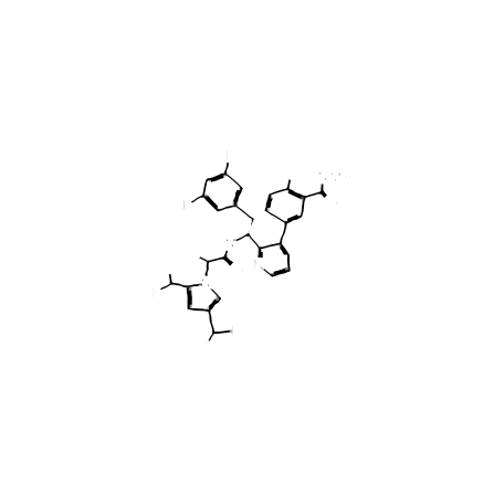 CCC(C(=O)N[C@@H](Cc1cc(F)cc(F)c1)c1ncccc1-c1ccc(F)c(C(=O)NC)c1)n1cc(C(F)F)cc1C(F)F